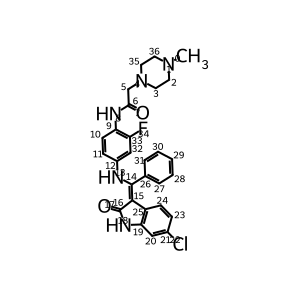 CN1CCN(CC(=O)Nc2ccc(N/C(=C3\C(=O)Nc4cc(Cl)ccc43)c3ccccc3)cc2F)CC1